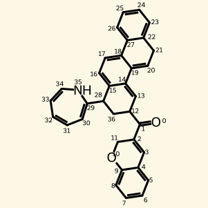 O=C(C1=Cc2ccccc2OC1)C1C=c2c(ccc3c2=CCc2ccccc2-3)C(C2=CC=CC=CN2)C1